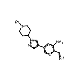 CC(C)N1CCC(n2cc(-c3cnc(C=N)c(N)c3)cn2)CC1